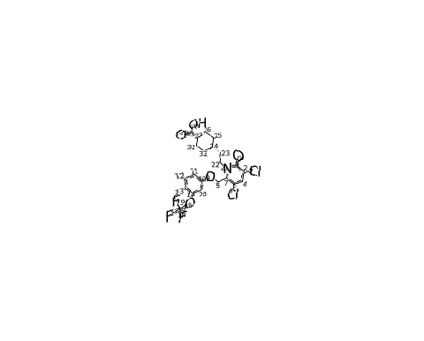 O=c1c(Cl)cc(Cl)c(COc2cccc(OC(F)(F)F)c2)n1CC[C@H]1CC[C@@H](C(=O)O)CC1